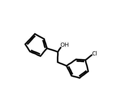 OC(Cc1cccc(Cl)c1)c1ccccc1